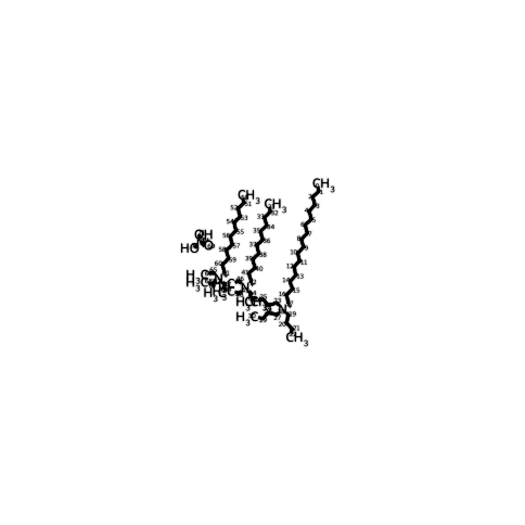 CCCCCCCCCCCCCCCCCC[N+](CCCC)(CCCC)CCCC.CCCCCCCCCCCC[N+](CC)(CC)CC.CCCCCCCCCCCC[N+](CC)(CC)CC.O=[N+](O)O